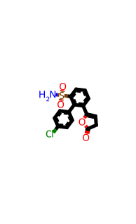 NS(=O)(=O)c1cccc(C2=CCC(=O)O2)c1-c1ccc(Cl)cc1